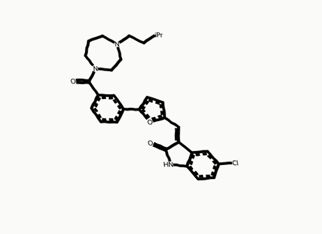 CC(C)CCN1CCCN(C(=O)c2cccc(-c3ccc(C=C4C(=O)Nc5ccc(Cl)cc54)o3)c2)CC1